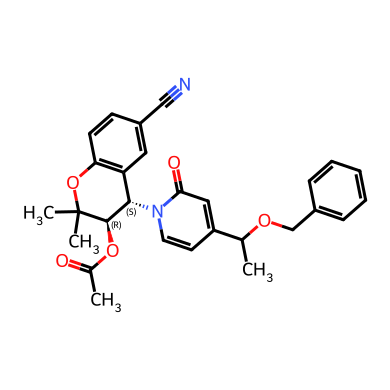 CC(=O)O[C@@H]1[C@@H](n2ccc(C(C)OCc3ccccc3)cc2=O)c2cc(C#N)ccc2OC1(C)C